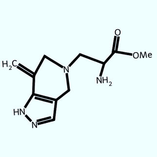 C=C1CN(CC(N)C(=O)OC)Cc2cn[nH]c21